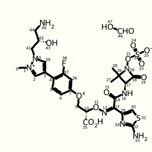 C[n+]1cc(-c2ccc(OC[C@H](O/N=C(\C(=O)N[C@@H]3C(=O)N(OS(=O)(=O)[O-])C3(C)C)c3csc(N)n3)C(=O)O)cc2F)cn1C[C@@H](O)CN.O=CO